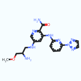 COCC(N)CNc1cnc(C(N)=O)c(Nc2cccc(-n3nccn3)n2)c1